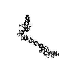 COc1ncc(-c2ccnc(N3CCn4c(cc5c4CC(C)(C)C5)C3=O)c2CO)cc1Nc1ccc(N2CCN(C3CCN(c4ccc5c(c4)C(=O)N(C4CCC(=O)N(C(C)OP(=O)(O)O)C4=O)C5=O)CC3)C[C@@H]2C)cn1